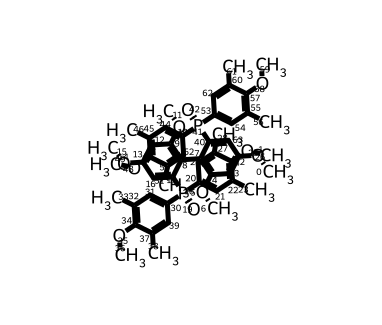 COc1cc(OC)c(-c2c(OC)cc(OC)cc2P(=O)(c2cc(C)c(OC)c(C)c2)c2cc(C)c(OC)c(C)c2)c(P(=O)(c2cc(C)c(OC)c(C)c2)c2cc(C)c(OC)c(C)c2)c1